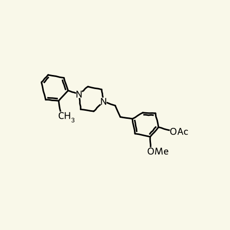 COc1cc(CCN2CCN(c3ccccc3C)CC2)ccc1OC(C)=O